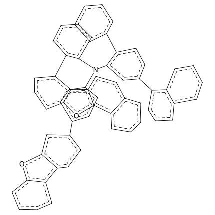 c1ccc(-c2ccc(-c3cccc4ccccc34)cc2N(c2ccc(-c3ccc4c(c3)oc3ccccc34)cc2)c2ccccc2-c2cccc3oc4c5ccccc5ccc4c23)cc1